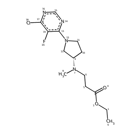 CCOC(=O)CCN(C)[C@H]1CCN(c2ncnc(Cl)c2F)C1